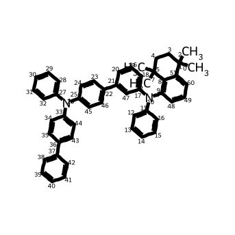 CC1(C)CCC(C)(C)c2c(N(c3ccccc3)c3cccc(-c4ccc(N(c5ccccc5)c5ccc(-c6ccccc6)cc5)cc4)c3)cccc21